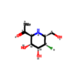 CNC(=O)[C@H]1N[C@H](CO)[C@H](F)[C@H](O)[C@@H]1O